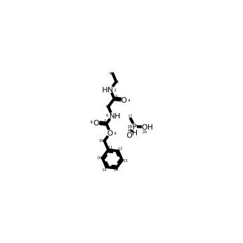 CCNC(=O)CNC(=O)OCc1ccccc1.C[PH](=O)O